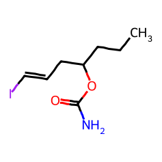 CCCC(CC=CI)OC(N)=O